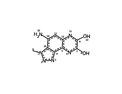 Cn1nnc2c3nc(O)c(O)nc3cc(N)c21